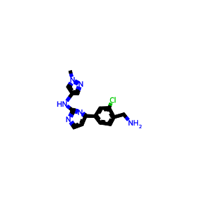 Cn1cc(Nc2nccc(-c3ccc(CN)c(Cl)c3)n2)cn1